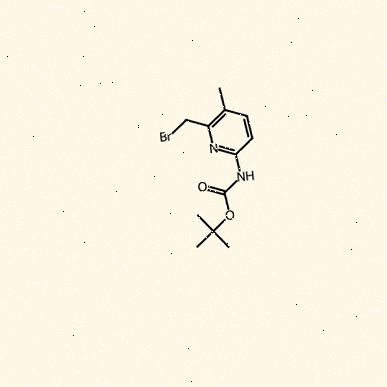 Cc1ccc(NC(=O)OC(C)(C)C)nc1CBr